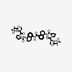 CC[C@H](NC(=O)[C@H](C)NC)C(=O)N1CCC[C@H]1C(=O)N[C@@H]1CCCc2c(NC(=O)c3cccc4c3CCC[C@H]4NC(=O)[C@@H]3CCCN3C(=O)[C@H](CC)NC(=O)[C@H](C)NC)cccc21